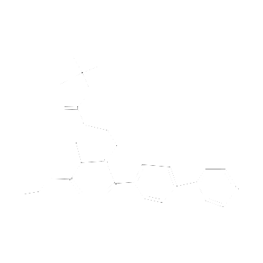 CCOC(=O)C1CN(C(=O)OC(C)(C)C)CCN1C(=O)c1ccc(-c2ccncc2)cc1